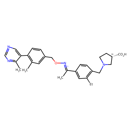 CCc1cc(/C(C)=N/OCc2ccc(-c3cncnc3C)c(C)c2)ccc1CN1CC[C@H](C(=O)O)C1